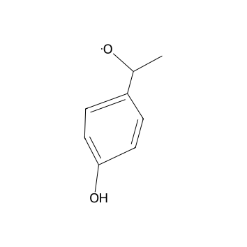 CC([O])c1ccc(O)cc1